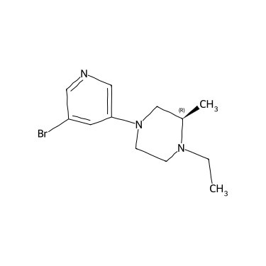 CCN1CCN(c2cncc(Br)c2)C[C@H]1C